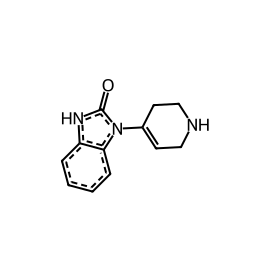 O=c1[nH]c2ccccc2n1C1=CCNCC1